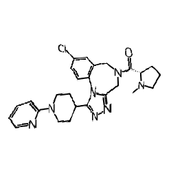 CN1CCC[C@H]1C(=O)N1Cc2cc(Cl)ccc2-n2c(nnc2C2CCN(c3ccccn3)CC2)C1